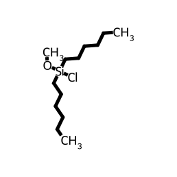 CCCCCC[Si](Cl)(CCCCCC)OC